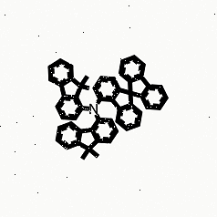 CC1(C)c2ccccc2-c2c(N(c3cccc4c3-c3ccccc3C43c4ccccc4-c4ccccc43)c3cccc4c3C(C)(C)c3ccccc3-4)cccc21